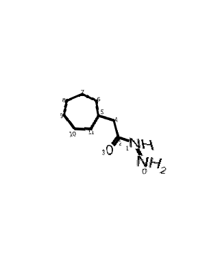 NNC(=O)CC1CCCCCC1